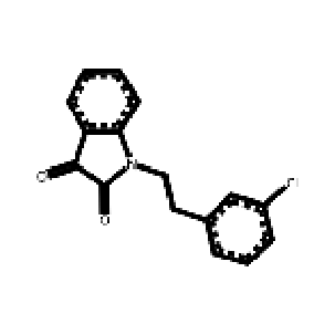 O=C1C(=O)N(CCc2cccc(Cl)c2)c2ccccc21